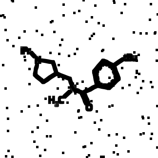 CC(C)N1CCC(CN(C)C(=O)c2ccc(C(C)(C)C)cc2)C1